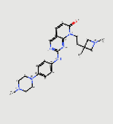 CCC1(CCn2c(=O)ccc3cnc(Nc4ccc(N5CCN(C(C)=O)CC5)cc4)nc32)CN(C(C)=O)C1